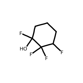 OC1(F)CCC[C](F)C1(F)F